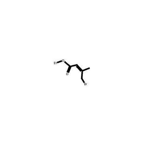 CCOC(=O)C=C(C)CBr